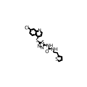 O=C(NCCc1cccs1)Nc1nnc(Sc2ccnc3cc(Cl)ccc23)s1